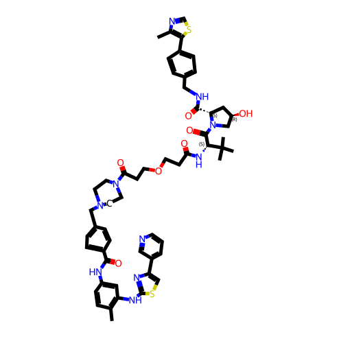 Cc1ccc(NC(=O)c2ccc(CN3CCN(C(=O)CCOCCC(=O)N[C@H](C(=O)N4C[C@H](O)C[C@H]4C(=O)NCc4ccc(-c5scnc5C)cc4)C(C)(C)C)CC3)cc2)cc1Nc1nc(-c2cccnc2)cs1